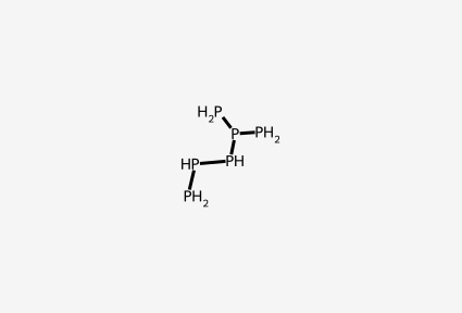 PPPP(P)P